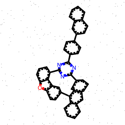 c1ccc(-c2nc(-c3ccc(-c4ccc5ccccc5c4)cc3)nc(-c3cccc4oc5ccc(-c6cccc7ccccc67)cc5c34)n2)cc1